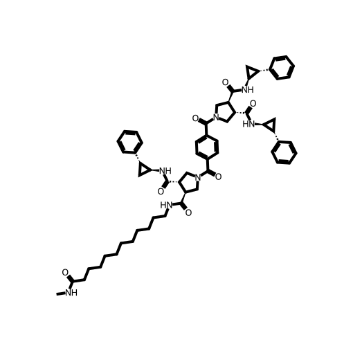 CNC(=O)CCCCCCCCCCCNC(=O)[C@@H]1CN(C(=O)c2ccc(C(=O)N3C[C@@H](C(=O)N[C@H]4C[C@@H]4c4ccccc4)[C@H](C(=O)N[C@H]4C[C@@H]4c4ccccc4)C3)cc2)C[C@H]1C(=O)N[C@H]1C[C@@H]1c1ccccc1